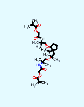 C=CC1(CC(C)(C)OCC(C)(C)NC(=O)COC(=O)C(=C)C)CCCC1OCC(C)(C)BC(=O)COC(=O)C(=C)C